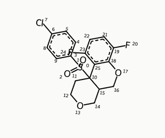 O=S(=O)(c1ccc(Cl)cc1)C12CCOCC1COc1c(F)ccc(F)c12